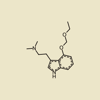 CCOCOc1cccc2[nH]cc(CCN(C)C)c12